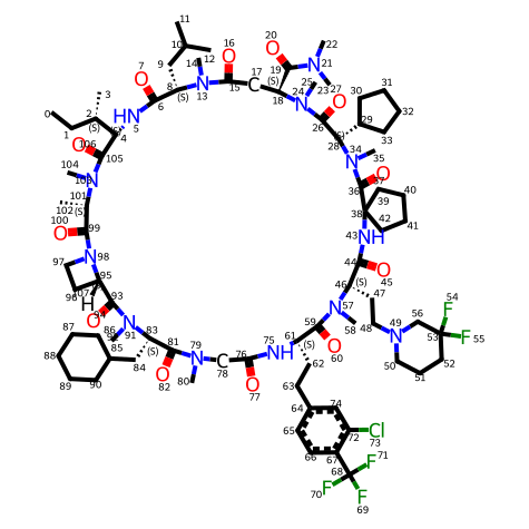 CC[C@H](C)[C@@H]1NC(=O)[C@H](CC(C)C)N(C)C(=O)C[C@@H](C(=O)N(C)C)N(C)C(=O)[C@H](C2CCCC2)N(C)C(=O)C2(CCCC2)NC(=O)[C@H](CCN2CCCC(F)(F)C2)N(C)C(=O)[C@H](CCc2ccc(C(F)(F)F)c(Cl)c2)NC(=O)CN(C)C(=O)[C@H](CC2CCCCC2)N(C)C(=O)[C@@H]2CCN2C(=O)[C@H](C)N(C)C1=O